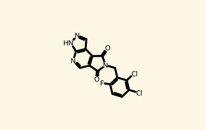 O=C1c2cnc3[nH]ncc3c2C(=O)N1Cc1c(F)ccc(Cl)c1Cl